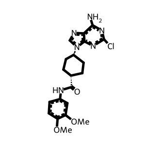 COc1ccc(NC(=O)[C@H]2CC[C@@H](n3cnc4c(N)nc(Cl)nc43)CC2)cc1OC